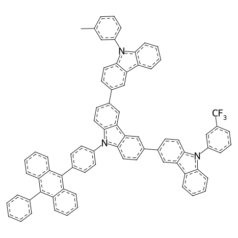 Cc1cccc(-n2c3ccccc3c3cc(-c4ccc5c(c4)c4cc(-c6ccc7c(c6)c6ccccc6n7-c6cccc(C(F)(F)F)c6)ccc4n5-c4ccc(-c5c6ccccc6c(-c6ccccc6)c6ccccc56)cc4)ccc32)c1